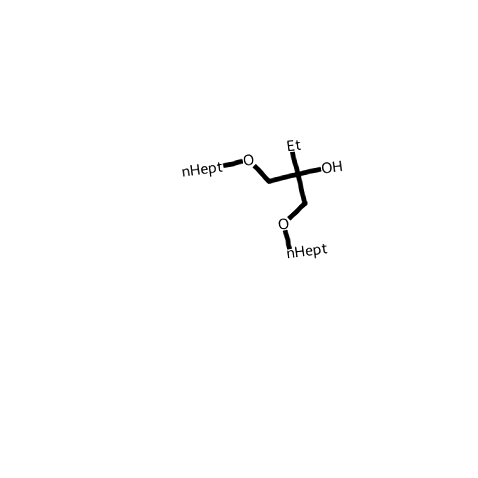 CCCCCCCOCC(O)(CC)COCCCCCCC